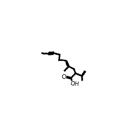 C=C(C)C(C/C(C)=C/CCC#CC)C(=O)O